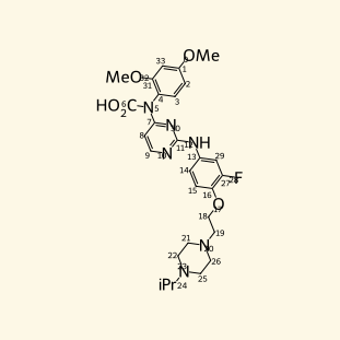 COc1ccc(N(C(=O)O)c2ccnc(Nc3ccc(OCCN4CCN(C(C)C)CC4)c(F)c3)n2)c(OC)c1